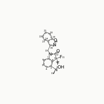 C[C@H](O)c1cccc2c1C(F)(F)C(=O)N2Cc1noc2ccccc12